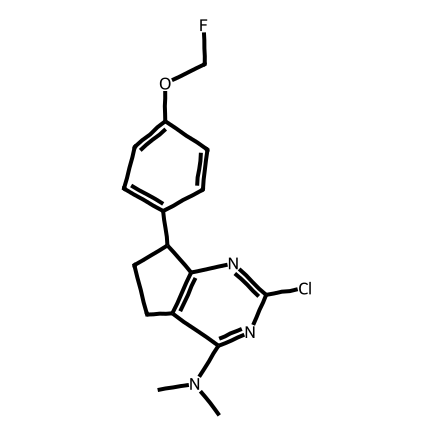 CN(C)c1nc(Cl)nc2c1CCC2c1ccc(OCF)cc1